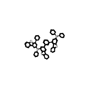 c1ccc(-c2cc(N(c3ccccc3)c3cc(-c4cccc(-c5cc(N(c6ccccc6)c6ccccc6)cc6sc7ccccc7c56)c4)cc4c3sc3ccccc34)cc3c2oc2ccccc23)cc1